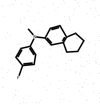 CN(c1ccc(F)cc1)c1ccc2c(c1)CCCC2